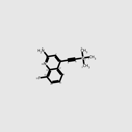 C[Si](C)(C)C#Cc1cc(N)nc2c(F)cccc12